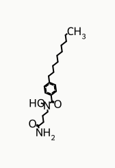 CCCCCCCCCCc1ccc(C(=O)N(O)CCCC(N)=O)cc1